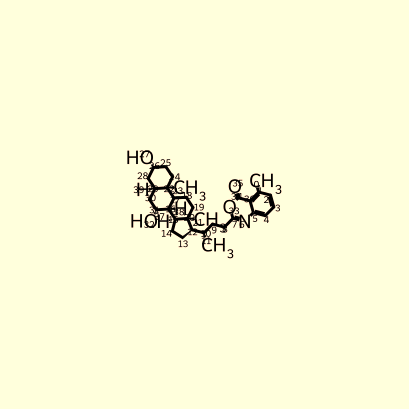 Cc1cccc2nc(CC[C@@H](C)[C@H]3CC[C@H]4[C@H]5C(CC[C@]34C)[C@@]3(C)CC[C@@H](O)C[C@H]3C[C@H]5O)oc(=O)c12